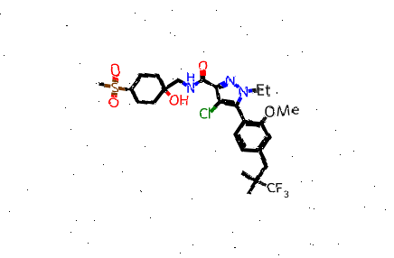 CCn1nc(C(=O)NCC2(O)CCC(S(C)(=O)=O)CC2)c(Cl)c1-c1ccc(CC(C)(C)C(F)(F)F)cc1OC